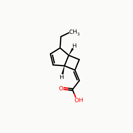 CCC1C=C[C@H]2/C(=C\C(=O)O)C[C@@H]12